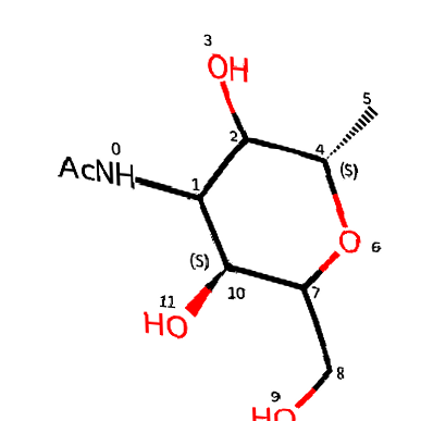 CC(=O)NC1C(O)[C@H](C)OC(CO)[C@H]1O